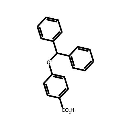 O=C(O)c1ccc(OC(c2ccccc2)c2ccccc2)cc1